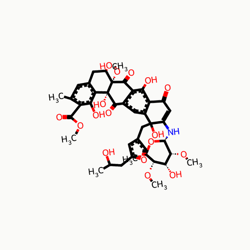 COC(=O)c1c(C)cc2c(c1O)[C@]1(O)C(=O)c3cc4c(c(O)c3C(=O)[C@]1(OC)C(O)C2)C(=O)C=C(N[C@H]1O[C@@H](C)[C@@H](OC)[C@@H](O)[C@H]1OC)C4(O)Cc1coc(CC(C)O)c1